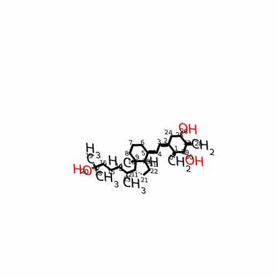 C=C1/C(=C\C=C2/CCCC3(C)[C@@H]([C@H](C)CCCC(C)(C)O)CC[C@@H]23)C[C@@H](O)C(=C)C1O